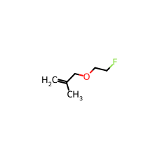 C=C(C)COCCF